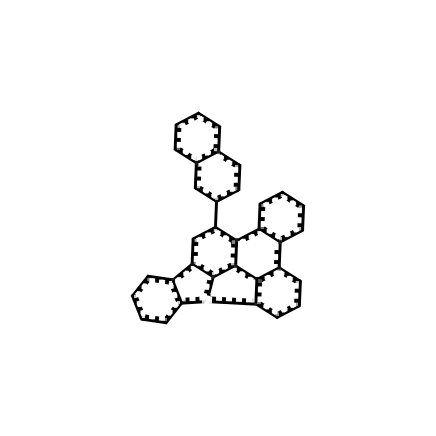 c1ccc2cc(-c3cc4c5ccccc5n5c6cccc7c8ccccc8c3c(c76)c45)ccc2c1